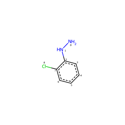 NNc1c[c]ccc1Cl